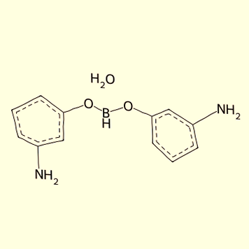 Nc1cccc(OBOc2cccc(N)c2)c1.O